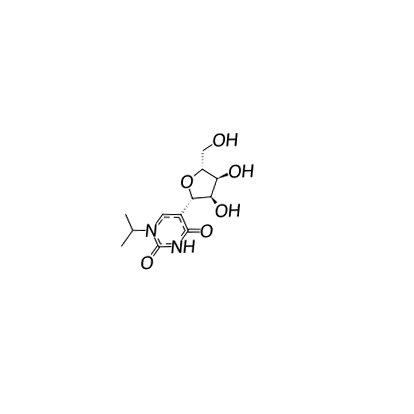 CC(C)n1cc([C@@H]2O[C@H](CO)[C@@H](O)[C@H]2O)c(=O)[nH]c1=O